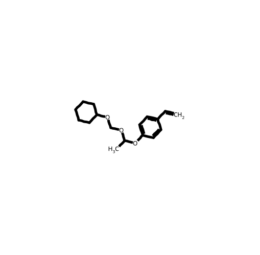 C=Cc1ccc(OC(C)OCOC2CCCCC2)cc1